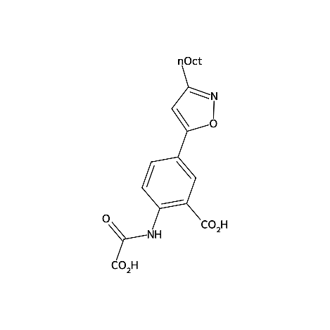 CCCCCCCCc1cc(-c2ccc(NC(=O)C(=O)O)c(C(=O)O)c2)on1